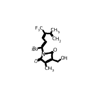 C=C(C)/C(=C\C=C(/C(C)CC)N1C(=O)C(C)=C(CO)C1=O)C(F)(F)F